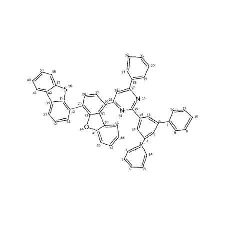 c1ccc(-c2cc(-c3ccccc3)cc(-c3nc(-c4ccccc4)cc(-c4ccc(-c5cccc6c5sc5ccccc56)c5oc6ccccc6c45)n3)c2)cc1